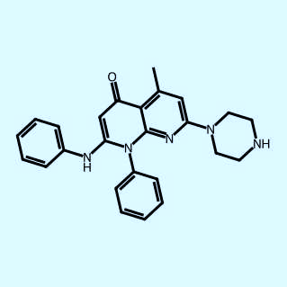 Cc1cc(N2CCNCC2)nc2c1c(=O)cc(Nc1ccccc1)n2-c1ccccc1